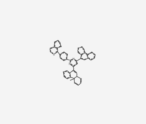 CC12C=CC=CC1C=C(c1cc(-c3cc4ccccc4c4ccccc34)nc(-c3ccc(-c4nccc5ccccc45)cc3)n1)c1ccccc12